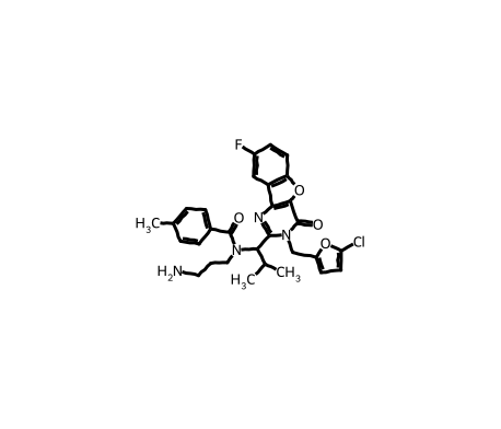 Cc1ccc(C(=O)N(CCCN)C(c2nc3c(oc4ccc(F)cc43)c(=O)n2Cc2ccc(Cl)o2)C(C)C)cc1